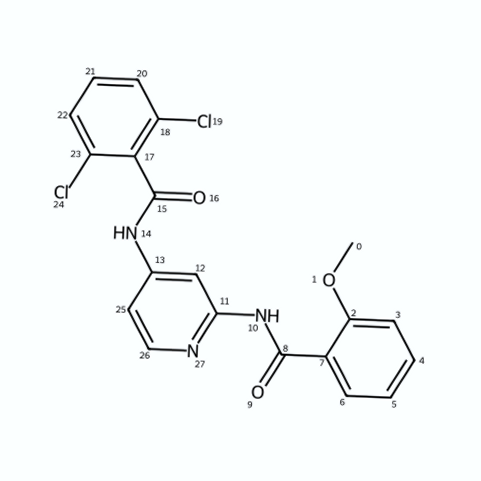 COc1ccccc1C(=O)Nc1cc(NC(=O)c2c(Cl)cccc2Cl)ccn1